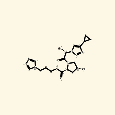 CC(C)(C)[C@@H](C(=O)N1C[C@H](O)C[C@H]1C(=O)NCCCn1cnnn1)n1cc(C2CC2)nn1